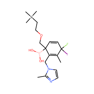 CC1=C(Cn2ccnc2C)C(COCC[Si](C)(C)C)(B(O)O)C=CC1(F)I